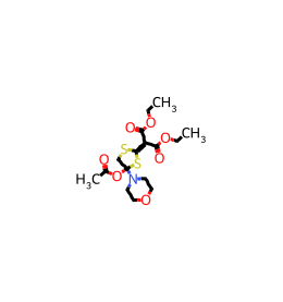 CCOC(=O)C(C(=O)OCC)=C1SCC(OC(C)=O)(N2CCOCC2)S1